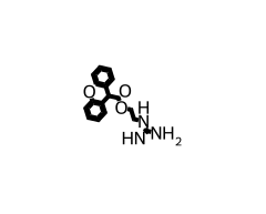 N=C(N)NCCOC(=O)C1c2ccccc2Oc2ccccc21